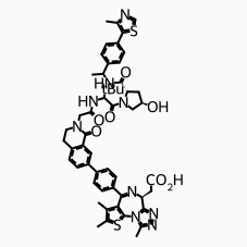 Cc1ncsc1-c1ccc(C(C)NC(=O)[C@@H]2C[C@@H](O)CN2C(=O)C(NC(=O)CN2CCc3ccc(-c4ccc(C5=N[C@@H](CC(=O)O)c6nnc(C)n6-c6sc(C)c(C)c65)cc4)cc3C2=O)C(C)(C)C)cc1